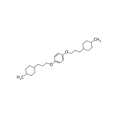 CC1CCC(CCCOc2ccc(OCCCC3CCC(C)CC3)cc2)CC1